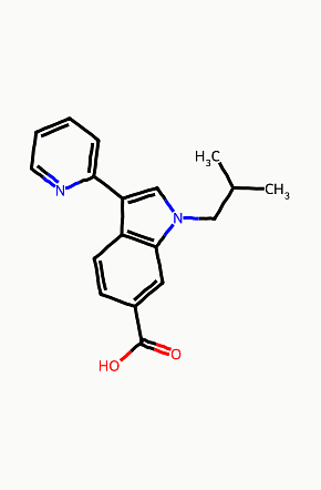 CC(C)Cn1cc(-c2ccccn2)c2ccc(C(=O)O)cc21